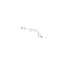 CN1CCC(CNC(=O)COc2ccc(CC=NOC3CC4CCC3CC4)cc2)CC1